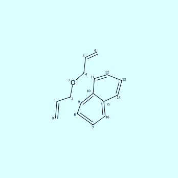 C=CCOCC=C.c1ccc2ccccc2c1